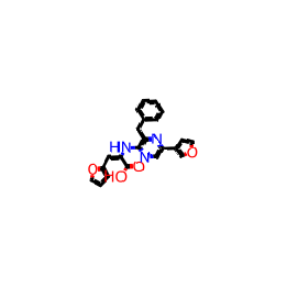 O=C(O)C(=Cc1ccco1)Nc1ncc(-c2ccoc2)nc1Cc1ccccc1